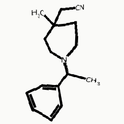 CC(c1ccccc1)N1CCC(C)(CC#N)CC1